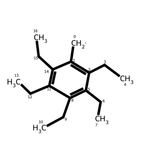 [CH2]c1c(CC)c(CC)c(CC)c(CC)c1CC